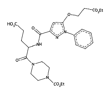 CCOC(=O)CCOc1cc(C(=O)NC(CCC(=O)O)C(=O)N2CCN(C(=O)OCC)CC2)nn1-c1ccccc1